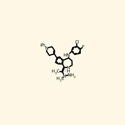 C/C(=C1/NCCC(Nc2ccc(F)c(Cl)c2)c2cc(C3=CCN(C(C)C)CC3)ccc21)N(C)N